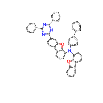 c1ccc(-c2ccc(N(c3cccc4c3oc3ccccc34)c3cccc4c3oc3cc(-c5nc(-c6ccccc6)nc(-c6ccccc6)n5)ccc34)cc2)cc1